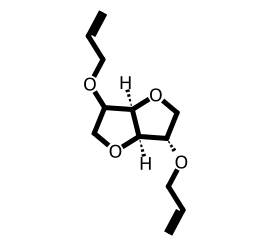 C=CCOC1CO[C@@H]2[C@@H](OCC=C)CO[C@H]12